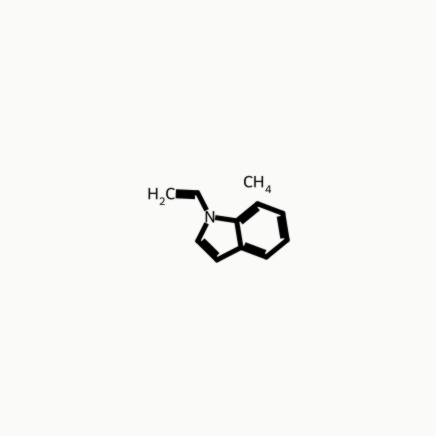 C.C=Cn1ccc2ccccc21